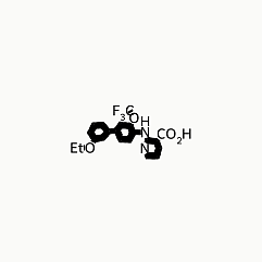 CCOc1cccc(-c2ccc(Nc3ncccc3C(=O)O)c(OC(F)(F)F)c2)c1